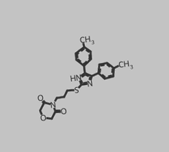 Cc1ccc(-c2nc(SCCCN3C(=O)COCC3=O)[nH]c2-c2ccc(C)cc2)cc1